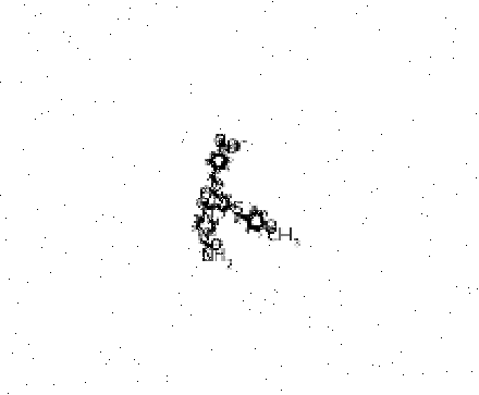 COc1ccc(CS[C@H]2C[C@@H](C(=O)N3CCN(CC(N)=O)CC3)N(C(=O)OCc3ccc([N+](=O)[O-])cc3)C2)cc1